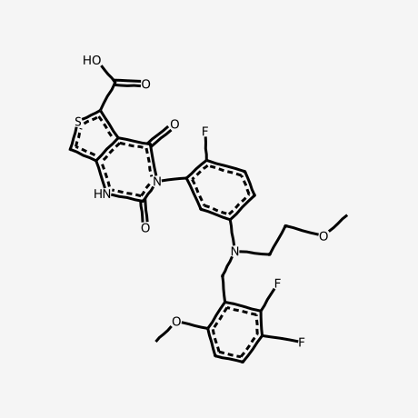 COCCN(Cc1c(OC)ccc(F)c1F)c1ccc(F)c(-n2c(=O)[nH]c3csc(C(=O)O)c3c2=O)c1